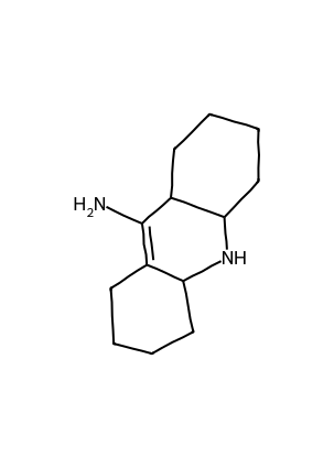 NC1=C2CCCCC2NC2CCCCC12